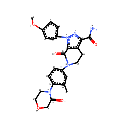 COc1ccc(-n2nc(C(N)=O)c3c2C(=O)N(c2ccc(N4CCOCC4=O)c(C)c2)CC3)cc1